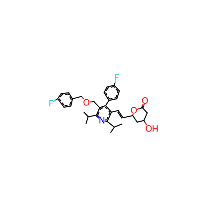 CC(C)c1nc(C(C)C)c(COCc2ccc(F)cc2)c(-c2ccc(F)cc2)c1/C=C/C1CC(O)CC(=O)O1